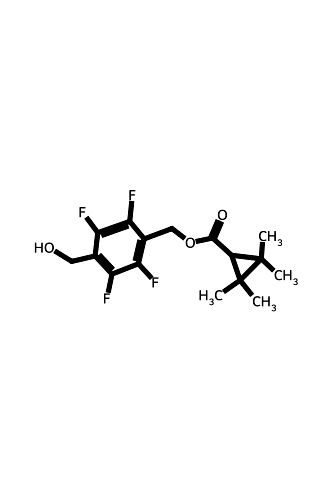 CC1(C)C(C(=O)OCc2c(F)c(F)c(CO)c(F)c2F)C1(C)C